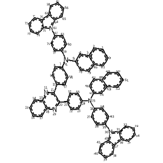 c1ccc2cc(N(c3ccc(-c4nc5ccccc5nc4-c4ccc(N(c5ccc(-n6c7ccccc7c7ccccc76)cc5)c5ccc6ccccc6c5)cc4)cc3)c3ccc(-n4c5ccccc5c5ccccc54)cc3)ccc2c1